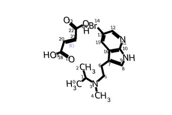 CC(C)N(C)CCc1c[nH]c2ncc(Br)cc12.O=C(O)/C=C/C(=O)O